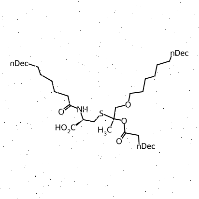 CCCCCCCCCCCCCCCCOCC(C)(OC(=O)CCCCCCCCCCC)SC[C@H](NC(=O)CCCCCCCCCCCCCCC)C(=O)O